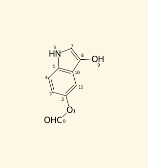 O=COc1ccc2[nH]cc(O)c2c1